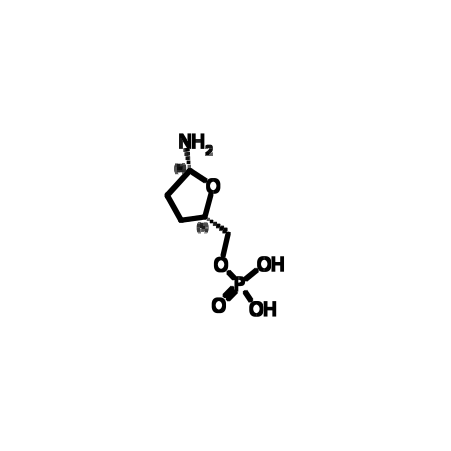 N[C@H]1CC[C@@H](COP(=O)(O)O)O1